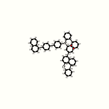 c1ccc(-c2ccccc2N(c2ccc(-c3ccc(-c4cccc5ccccc45)cc3)cc2)c2cccc(-c3ccc4c5c(cccc35)-c3ccccc3O4)c2)cc1